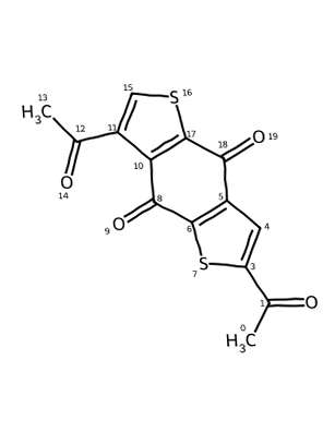 CC(=O)c1cc2c(s1)C(=O)c1c(C(C)=O)csc1C2=O